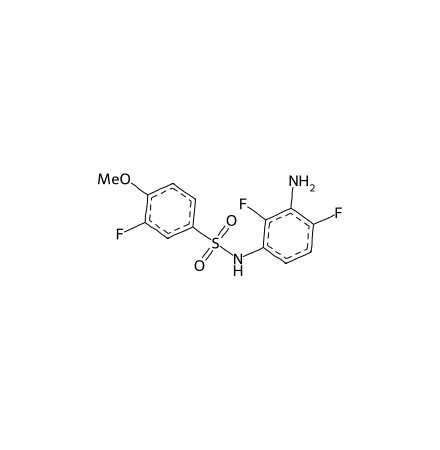 COc1ccc(S(=O)(=O)Nc2ccc(F)c(N)c2F)cc1F